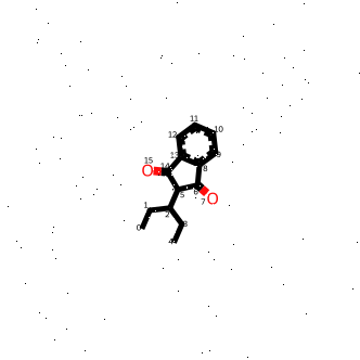 CCC(CC)[C]1C(=O)c2ccccc2C1=O